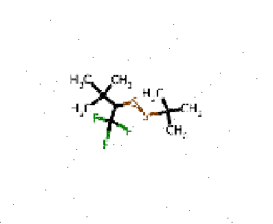 CC(C)(C)SSC(C(C)(C)C)C(F)(F)F